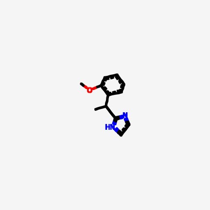 COc1ccccc1C(C)c1ncc[nH]1